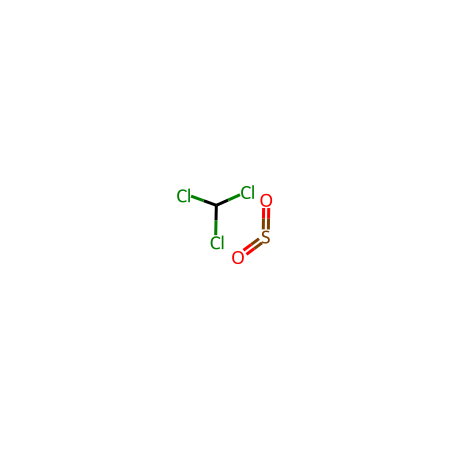 ClC(Cl)Cl.O=S=O